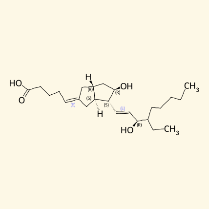 CCCCCC(CC)[C@@H](O)/C=C/[C@@H]1[C@H]2C/C(=C/CCCC(=O)O)C[C@@H]2C[C@H]1O